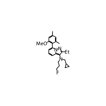 CCc1nn2c(-c3c(C)cc(C)cc3OC)cccc2c1N(CCCF)CC1CC1